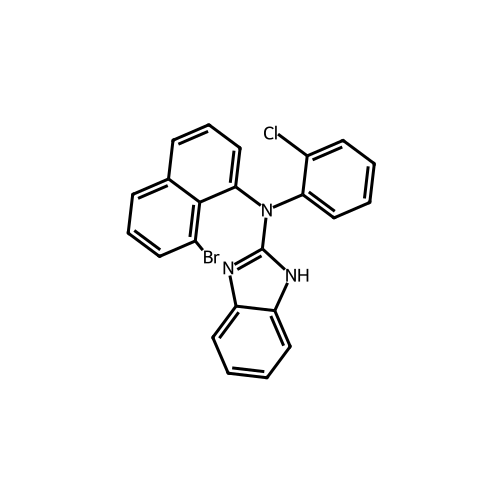 Clc1ccccc1N(c1nc2ccccc2[nH]1)c1cccc2cccc(Br)c12